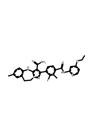 CCOc1ccnc(NC(=O)c2ccc(-c3nn4c(c3C(N)=O)Nc3ccc(C)cc3CC4)c(F)c2C)c1